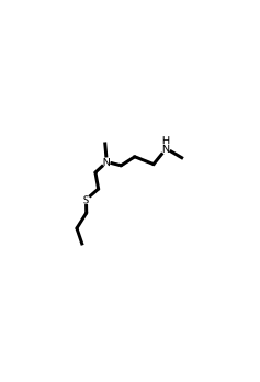 CCCSCCN(C)CCCNC